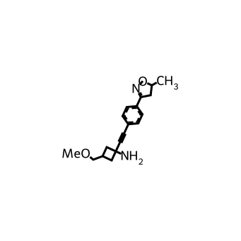 COCC1CC(N)(C#Cc2ccc(C3=NOC(C)C3)cc2)C1